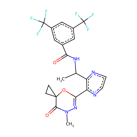 CC(NC(=O)c1cc(C(F)(F)F)cc(C(F)(F)F)c1)c1nccnc1C1=NN(C)C(=O)C2(CC2)O1